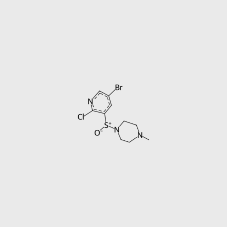 CN1CCN([S+]([O-])c2cc(Br)cnc2Cl)CC1